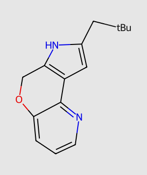 CC(C)(C)Cc1cc2c([nH]1)COc1cccnc1-2